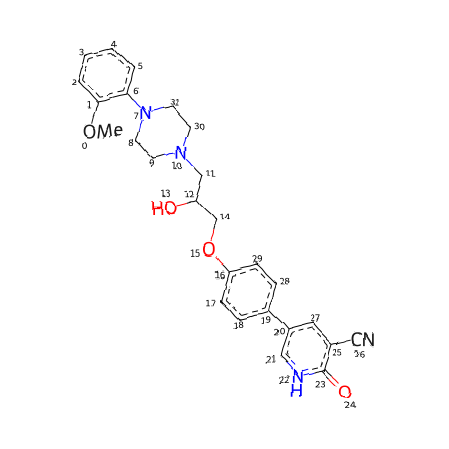 COc1ccccc1N1CCN(CC(O)COc2ccc(-c3c[nH]c(=O)c(C#N)c3)cc2)CC1